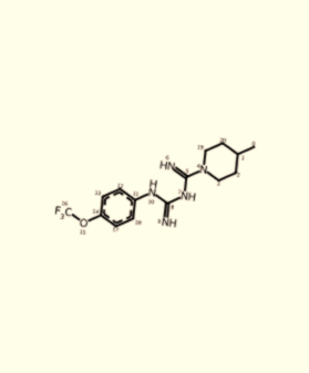 CC1CCN(C(=N)NC(=N)Nc2ccc(OC(F)(F)F)cc2)CC1